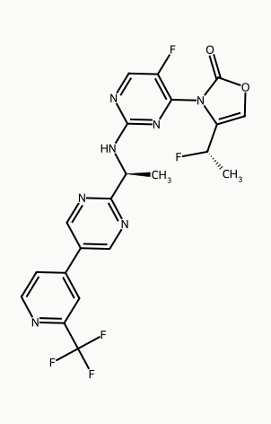 C[C@H](F)c1coc(=O)n1-c1nc(N[C@@H](C)c2ncc(-c3ccnc(C(F)(F)F)c3)cn2)ncc1F